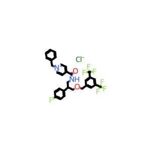 O=C(NCC(COCc1cc(C(F)(F)F)cc(C(F)(F)F)c1)c1ccc(F)cc1)c1cc[n+](Cc2ccccc2)cc1.[Cl-]